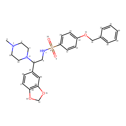 CN1CCN(C(CNS(=O)(=O)c2ccc(OCc3ccccc3)cc2)c2ccc3c(c2)OCO3)CC1